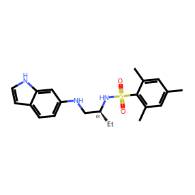 CC[C@@H](CNc1ccc2cc[nH]c2c1)NS(=O)(=O)c1c(C)cc(C)cc1C